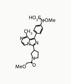 COCC(=O)N1CCC(c2nc(-c3ccc(N(OC)C(=O)O)cc3)c3c(C)nccn23)C1